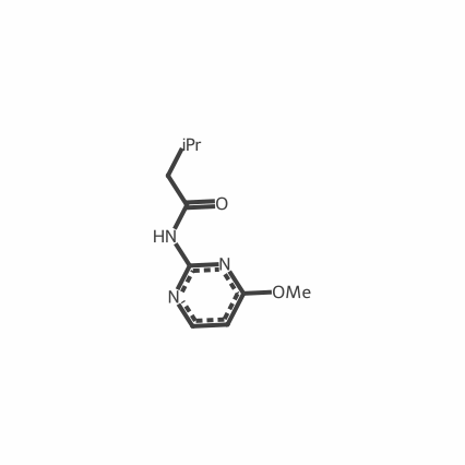 COc1ccnc(NC(=O)CC(C)C)n1